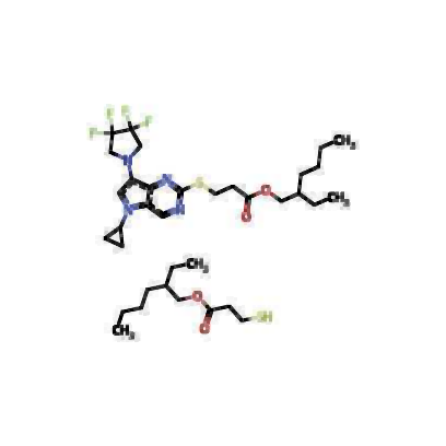 CCCCC(CC)COC(=O)CCS.CCCCC(CC)COC(=O)CCSc1ncc2c(n1)c(N1CC(F)(F)C(F)(F)C1)cn2C1CC1